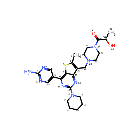 Cc1sc2c(-c3cnc(N)nc3)nc(N3CCCCC3)nc2c1CN1CCN(C(=O)[C@@H](C)O)CC1